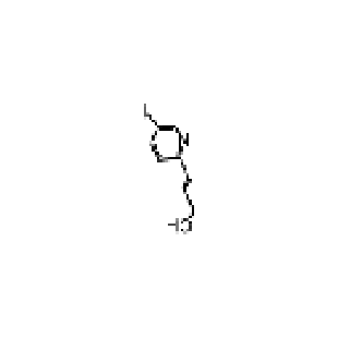 OCC=Cc1ccc(I)cn1